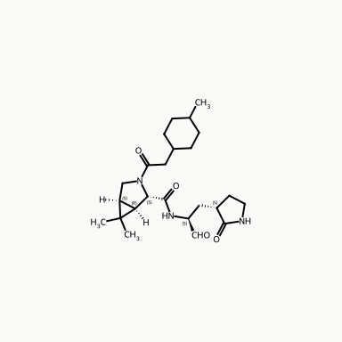 CC1CCC(CC(=O)N2C[C@H]3[C@@H]([C@H]2C(=O)N[C@H](C=O)C[C@@H]2CCNC2=O)C3(C)C)CC1